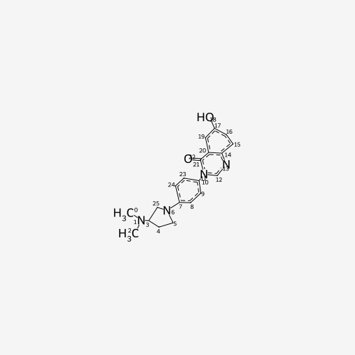 CN(C)C1CCN(c2ccc(-n3cnc4ccc(O)cc4c3=O)cc2)C1